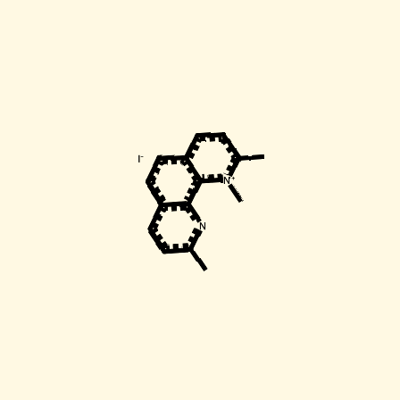 Cc1ccc2ccc3ccc(C)[n+](C)c3c2n1.[I-]